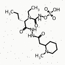 CCC[C@@H](C(=O)NNC(=O)CC1CCCCN1C)N(CC)C(=O)NOS(=O)(=O)O